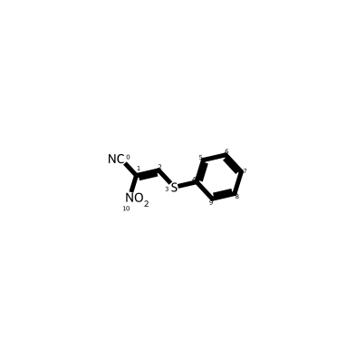 N#CC(=CSc1ccccc1)[N+](=O)[O-]